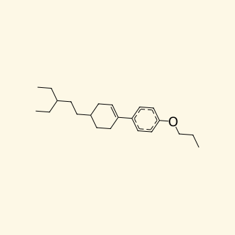 CCCOc1ccc(C2=CCC(CCC(CC)CC)CC2)cc1